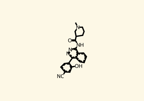 CN1CCCC(C(=O)Nc2nnc(-c3ccc(C#N)cc3O)c3ccccc23)C1